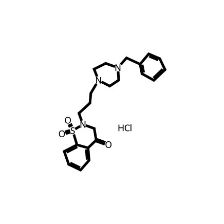 Cl.O=C1CN(CCCN2CCN(Cc3ccccc3)CC2)S(=O)(=O)c2ccccc21